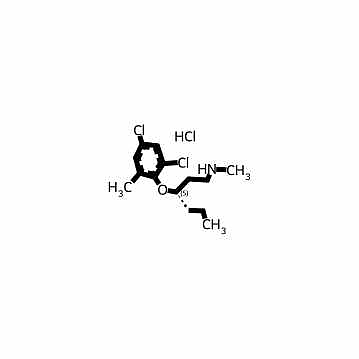 CCC[C@@H](CCNC)Oc1c(C)cc(Cl)cc1Cl.Cl